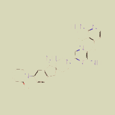 Nc1nc(N2CCC3(CC2)Cc2ccc(N4CCOCC4=O)cc2[C@H]3N)cnc1Sc1ccnc(N)c1Cl